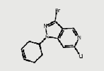 Clc1cc2c(cn1)c(Br)nn2C1CC=CCC1